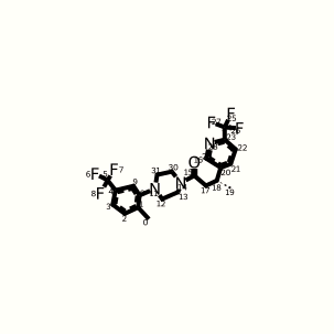 Cc1ccc(C(F)(F)F)cc1N1CCN(C(=O)C[C@@H](C)c2ccc(C(F)(F)F)nc2)CC1